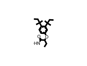 CCC(Oc1ccc(C(C)(C)CC)c(C(C)(C)CC)c1)C([NH])=O